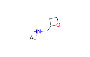 CC(=O)NCC1CCO1